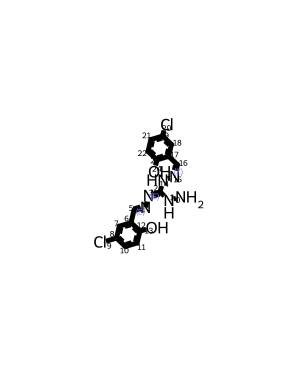 NN/C(=N\N=C\c1cc(Cl)ccc1O)N/N=C\c1cc(Cl)ccc1O